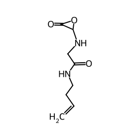 C=CCCNC(=O)CNC1OC1=O